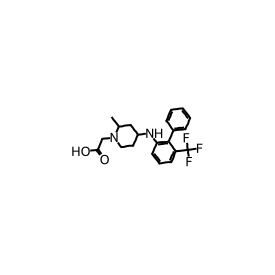 CC1CC(Nc2cccc(C(F)(F)F)c2-c2ccccc2)CCN1CC(=O)O